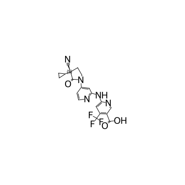 N#C[C@@]1(C2CC2)CCN(c2ccnc(Nc3cc(C(F)(F)F)c(C(=O)O)cn3)c2)C1=O